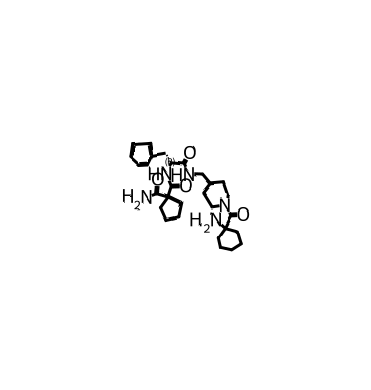 NC(=O)C1(C(=O)N[C@H](Cc2ccccc2)C(=O)NCC2CCN(C(=O)C3(N)CCCCC3)CC2)CCCC1